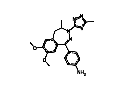 COc1cc2c(cc1OC)C(c1ccc(N)cc1)=NN(c1nnc(C)s1)C(C)C2